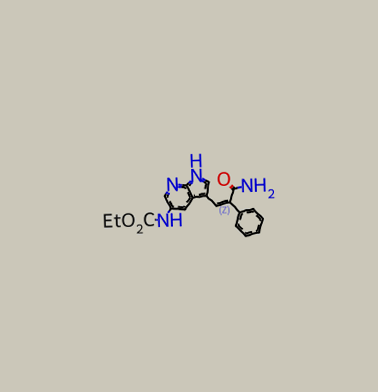 CCOC(=O)Nc1cnc2[nH]cc(/C=C(\C(N)=O)c3ccccc3)c2c1